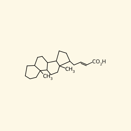 CC12CCC3C(CCC4CCCCC43C)C1CCC2C/C=C/C(=O)O